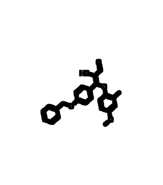 COc1ccc(O/C(=C(/O)C=O)c2ccc(OCc3ccccc3)cc2)c(C)c1